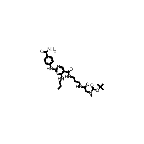 CCCNc1nc(Nc2ccc(C(N)=O)cc2)ncc1C(=O)NCCCNC(=O)CN(C)C(=O)OC(C)(C)C